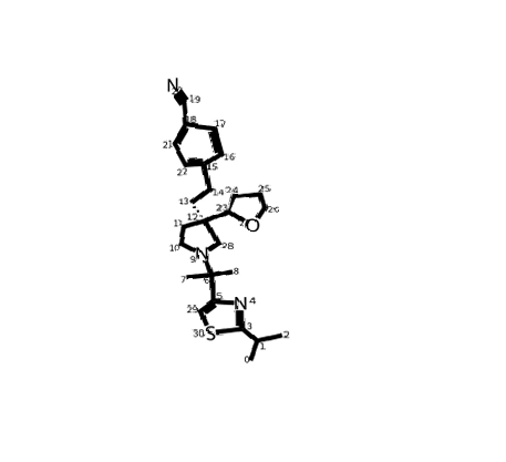 CC(C)c1nc(C(C)(C)N2CC[C@@](CCc3ccc(C#N)cc3)([C@H]3CCCO3)C2)cs1